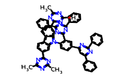 Cc1nc(C)nc(-c2ccc3c4ccc(-c5nc(C)nc(C)n5)cc4n(-c4ccc(-c5cc(-c6ccccc6)nc(-c6ccccc6)n5)cc4-c4nc(-c5ccccc5)nc(-c5ccccc5)n4)c3c2)n1